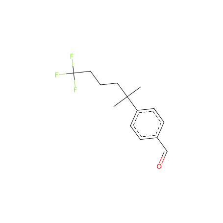 CC(C)(CCCC(F)(F)F)c1ccc(C=O)cc1